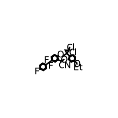 CCOc1ccc(C2(C(=O)OC(C#N)c3cccc(C(F)(F)c4ccc(F)cc4)c3)CC2(Cl)Cl)cc1